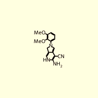 COc1cccc(N2C=C3C(=CNC(N)=C3C#N)C2)c1OC